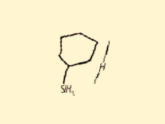 I[IH]I.[SiH3]C1CCCCC1